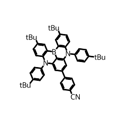 CC(C)(C)c1ccc(N2c3ccc(C(C)(C)C)cc3B3c4cc(C(C)(C)C)ccc4N(c4ccc(C(C)(C)C)cc4)c4cc(-c5ccc(C#N)cc5)cc2c43)cc1